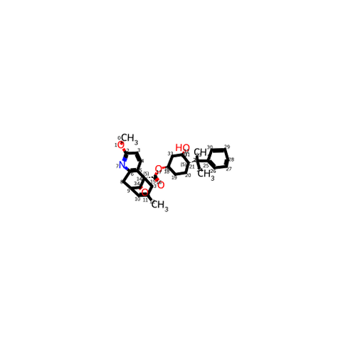 COc1ccc2c(n1)CC1C=C(C)C[C@@]2(C(=O)O[C@@H]2CC[C@@H](C(C)(C)c3ccccc3)[C@H](O)C2)C1=O